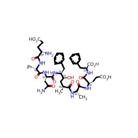 CC(C)[C@H](NC(=O)[C@@H](N)CCC(=O)O)C(=O)N[C@@H](CC(N)=O)C(=O)N[C@@H](Cc1ccccc1)[C@@H](O)C[C@@H](C)C(=O)N[C@@H](C)C(=O)N[C@@H](CCC(=O)O)C(=O)N[C@@H](Cc1ccccc1)C(=O)O